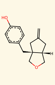 C=C1C[C@@H]2COC[C@]2(Cc2ccc(O)cc2)C1